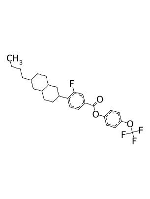 CCCCC1CCC2CC(c3ccc(C(=O)Oc4ccc(OC(F)(F)F)cc4)cc3F)CCC2C1